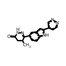 CC1CC(=O)NN=C1c1ccc2[nH]c(-c3ccnnc3)cc2c1